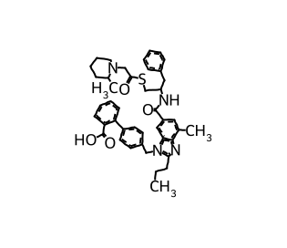 CCCc1nc2c(C)cc(C(=O)NC(CSC(=O)CN3CCCCC3C)Cc3ccccc3)cc2n1Cc1ccc(-c2ccccc2C(=O)O)cc1